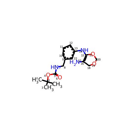 CC(C)(C)OC(=O)NCc1cccc(NC2=C(N)COCO2)c1